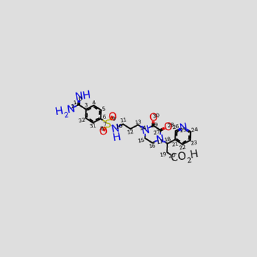 N=C(N)c1ccc(S(=O)(=O)NCCCN2CCN(C(CC(=O)O)c3cccnc3)C(=O)C2=O)cc1